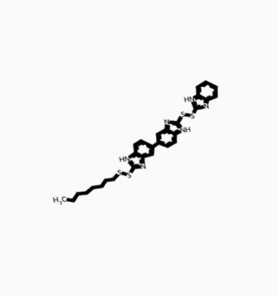 CCCCCCCCSSc1nc2cc(-c3ccc4[nH]c(SSc5nc6ccccc6[nH]5)nc4c3)ccc2[nH]1